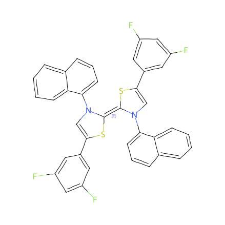 Fc1cc(F)cc(C2=CN(c3cccc4ccccc34)/C(=C3\SC(c4cc(F)cc(F)c4)=CN3c3cccc4ccccc34)S2)c1